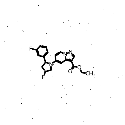 CCOC(=O)c1cnn2ccc(N3CC(F)CC3c3cccc(F)c3)cc12